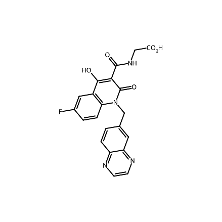 O=C(O)CNC(=O)c1c(O)c2cc(F)ccc2n(Cc2ccc3nccnc3c2)c1=O